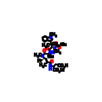 CCOC(=O)[C@H](CC(=O)O)NC(=O)/C(C)=C/[C@H](C(C)C)N(C)C(=O)[C@@H](NC(=O)[C@@H](N(C)C(=O)OC(C)(C)C)C(C)(C)c1cn(C)c2ccccc12)C(C)(C)C